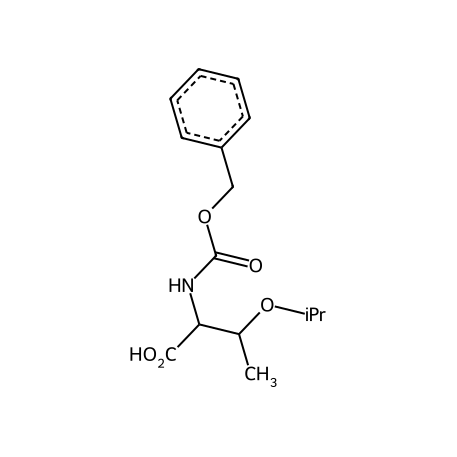 CC(C)OC(C)C(NC(=O)OCc1ccccc1)C(=O)O